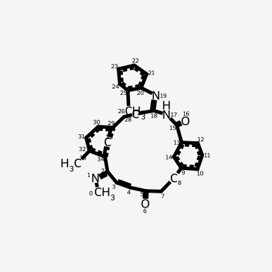 C/N=C1\C=C/C(=O)CCc2cccc(c2)C(=O)N/C(=N/c2ccccc2C)CCc2ccc(C)c1c2